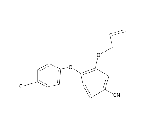 C=CCOc1cc(C#N)ccc1Oc1ccc(Cl)cc1